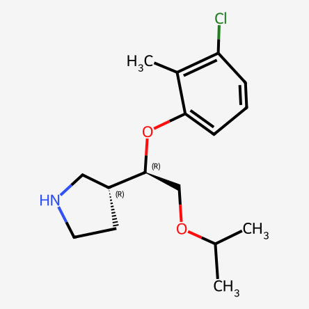 Cc1c(Cl)cccc1O[C@@H](COC(C)C)[C@@H]1CCNC1